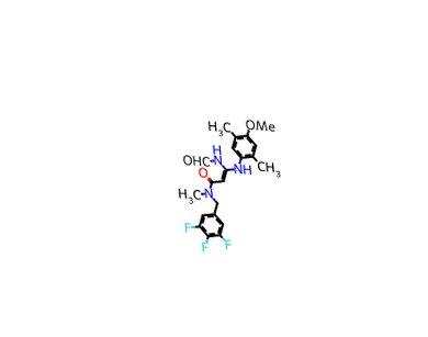 COc1cc(C)c(N/C(=C/C(=O)N(C)Cc2cc(F)c(F)c(F)c2)NC=O)cc1C